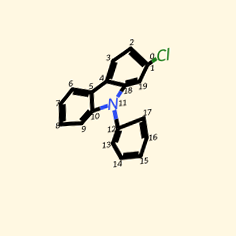 Clc1ccc2c3ccccc3n(-c3ccccc3)c2c1